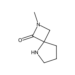 CN1CC2(CCCN2)C1=O